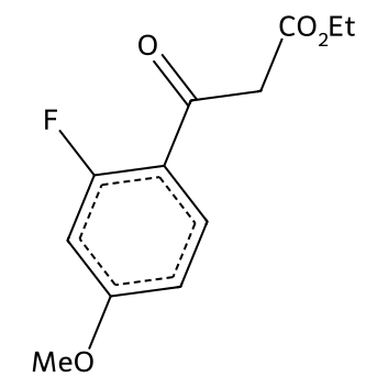 CCOC(=O)CC(=O)c1ccc(OC)cc1F